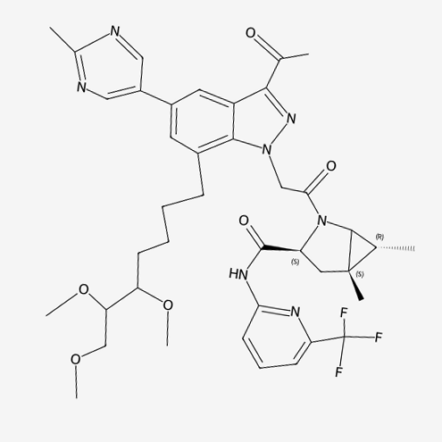 COCC(OC)C(CCCCc1cc(-c2cnc(C)nc2)cc2c(C(C)=O)nn(CC(=O)N3C4[C@H](C)[C@]4(C)C[C@H]3C(=O)Nc3cccc(C(F)(F)F)n3)c12)OC